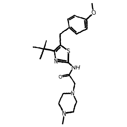 COc1ccc(Cc2sc(NC(=O)CN3CCN(C)CC3)nc2C(C)(C)C)cc1